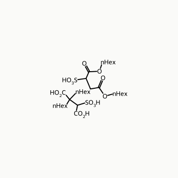 CCCCCCC(CCCCCC)(C(=O)O)C(C(=O)O)S(=O)(=O)O.CCCCCCOC(=O)CC(C(=O)OCCCCCC)S(=O)(=O)O